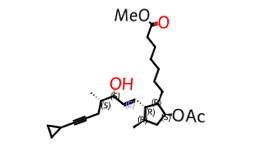 COC(=O)CCCCCC[C@@H]1[C@@H](/C=C/[C@@H](O)[C@@H](C)CC#CC2CC2)[C@H](C)C[C@@H]1OC(C)=O